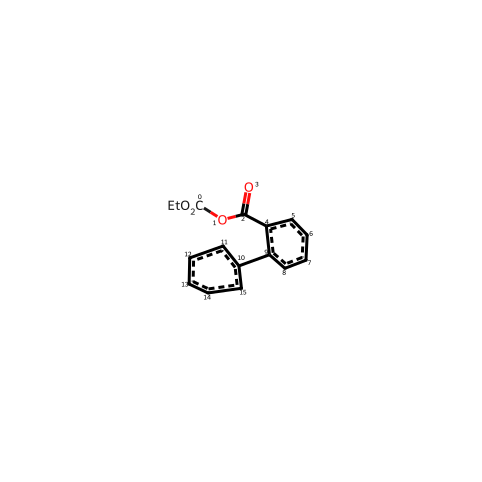 CCOC(=O)OC(=O)c1ccccc1-c1ccccc1